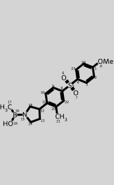 COc1ccc(S(=O)(=O)c2ccc(C3CCN(B(C)O)C3)c(C)c2)cc1